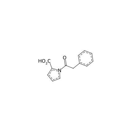 O=C(O)c1cccn1C(=O)Cc1ccccc1